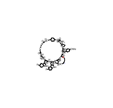 COc1ccc(C[C@@H]2NC(=O)[C@@H]3CCC/C=C\CO[C@H]4C[C@@H](C(=O)N3)N(C4)C(=O)[C@H](Cc3c[nH]c4ccc(F)cc34)NC(=O)[C@H](Cc3c[nH]c4ccc(F)cc34)NC(=O)[C@@H](C)NC(=O)CCCCCC(=O)NCc3ccc(cc3)C[C@@H](C(N)=O)NC(=O)[C@]3(C)CCCN3C2=O)cc1